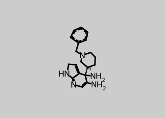 NC1=CN=C2NCC=C2C1(N)[C@@H]1CCCN(Cc2ccccc2)C1